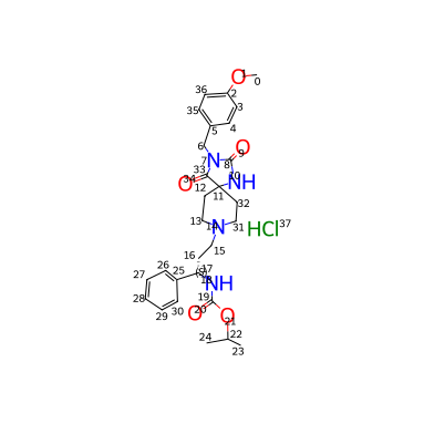 COc1ccc(CN2C(=O)NC3(CCN(CC[C@H](NC(=O)OC(C)C)c4ccccc4)CC3)C2=O)cc1.Cl